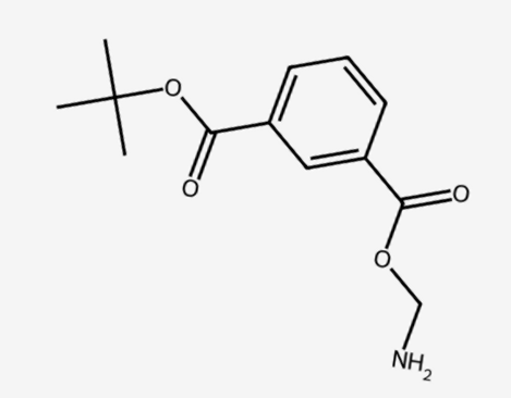 CC(C)(C)OC(=O)c1cccc(C(=O)OCN)c1